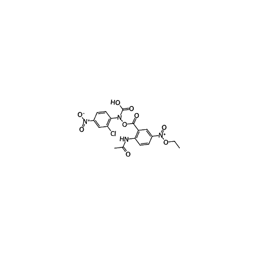 CCO[N+](=O)c1ccc(NC(C)=O)c(C(=O)ON(C(=O)O)c2ccc([N+](=O)[O-])cc2Cl)c1